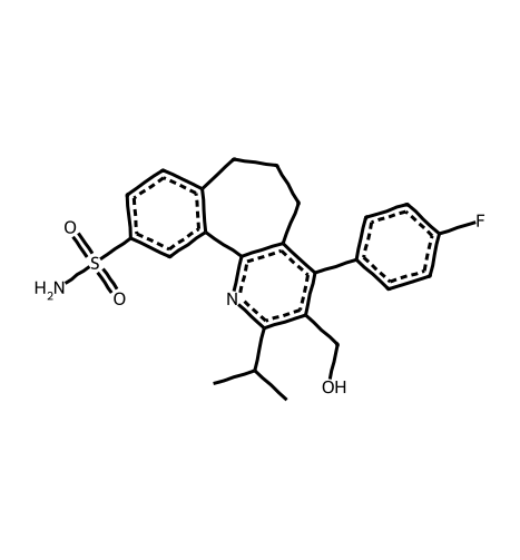 CC(C)c1nc2c(c(-c3ccc(F)cc3)c1CO)CCCc1ccc(S(N)(=O)=O)cc1-2